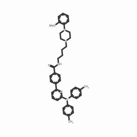 COc1ccccc1N1CCN(CCCCNC(=O)c2ccc(-c3cccc([S+](c4ccc(C)cc4)c4ccc(C)cc4)n3)cc2)CC1